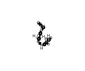 CC(C)(c1ccc(OCc2ccnc(N3CC4(COC4)C3)n2)cc1)c1ccc(O[C@H]2C[C@@H](Nc3ccc4c(c3)CN(C3CCC(=O)NC3=O)C4=O)C2)cc1